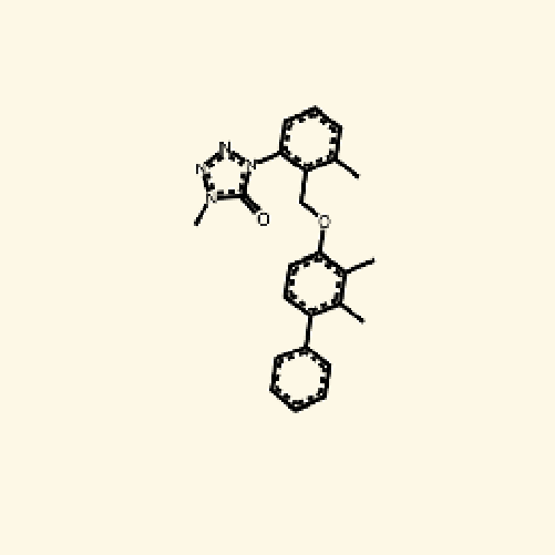 Cc1cccc(-n2nnn(C)c2=O)c1COc1ccc(-c2ccccc2)c(C)c1C